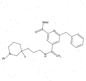 C=C(NCCCC1(F)CCCN(C(C)C)C1)c1cc(Cc2ccccc2)nc(C(=O)NC)c1